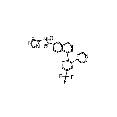 O=S(=O)(Nc1ncns1)c1ccc2c(-c3ccc(C(F)(F)F)cc3-c3ccncc3)cccc2c1